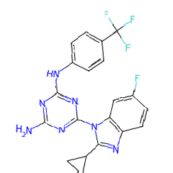 Nc1nc(Nc2ccc(C(F)(F)F)cc2)nc(-n2c(C3CC3)nc3ccc(F)cc32)n1